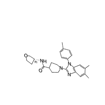 Cc1ccc(-n2c(N3CCC(C(=O)N[C@@H]4CCOC4)CC3)nc3cc(C)c(C)cc32)cc1